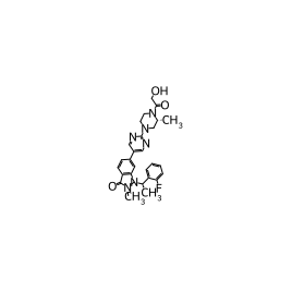 C[C@@H]1CN(c2ncc(-c3ccc4c(=O)n(C)n([C@H](C)c5ccccc5F)c4c3)cn2)CCN1C(=O)CO